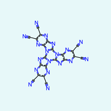 N#Cc1nc2nc3n(c2nc1C#N)c1nc2nc(C#N)c(C#N)nc2n1c1nc2nc(C#N)c(C#N)nc2n31